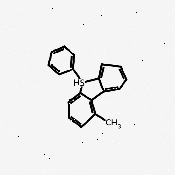 Cc1cccc2c1-c1ccccc1[SH]2c1ccccc1